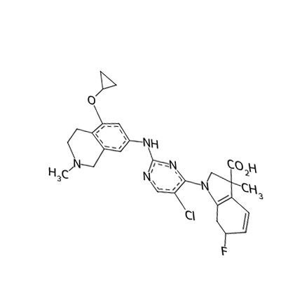 CN1CCc2c(cc(Nc3ncc(Cl)c(N4CC(C)(C(=O)O)C5=C4CC(F)C=C5)n3)cc2OC2CC2)C1